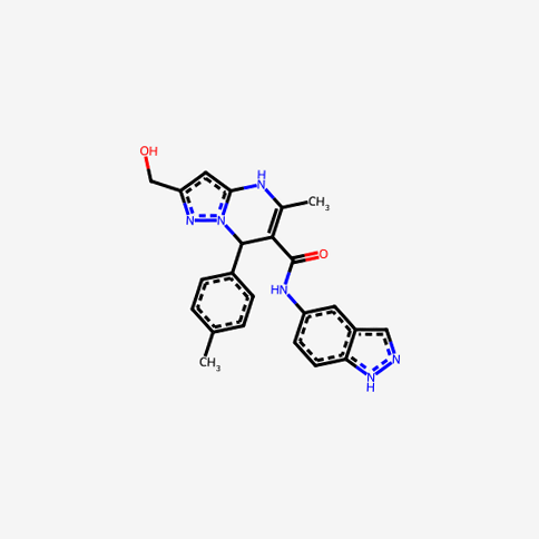 CC1=C(C(=O)Nc2ccc3[nH]ncc3c2)C(c2ccc(C)cc2)n2nc(CO)cc2N1